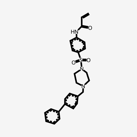 C=CC(=O)Nc1ccc(S(=O)(=O)N2CCN(Cc3ccc(-c4ccccc4)cc3)CC2)cc1